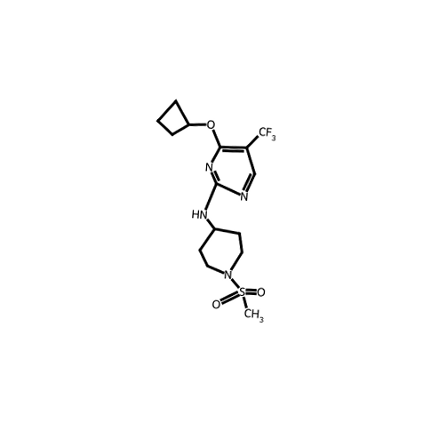 CS(=O)(=O)N1CCC(Nc2ncc(C(F)(F)F)c(OC3CCC3)n2)CC1